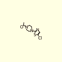 CC(=O)N1CCN(c2ncc(Cl)s2)CC1